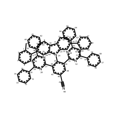 Cc1ccccc1-c1ccc2c3ccc(-c4ccccc4C)cc3n(-c3c(-c4nc(-c5ccccc5)cc(-c5ccccc5)n4)cc(C#N)cc3-c3nc(-c4ccccc4)cc(-c4ccccc4)n3)c2c1